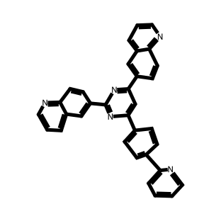 c1ccc(-c2ccc(-c3cc(-c4ccc5ncccc5c4)nc(-c4ccc5ncccc5c4)n3)cc2)nc1